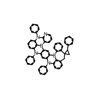 c1ccc(C2CC23Cc2cccc4c2B(c2cc5c(cc2N4c2ccccc2)N(c2ccccc2)c2cccc4c2B5c2cccnc2N4c2ccccc2)c2ccccc23)cc1